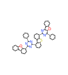 c1ccc(-c2nc(-c3cccc4c3oc3ccccc34)nc(-c3cccc4sc5c(-c6nc(-c7ccccc7)c7oc8ccccc8c7n6)cccc5c34)n2)cc1